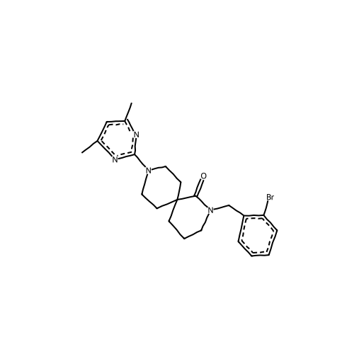 Cc1cc(C)nc(N2CCC3(CCCN(Cc4ccccc4Br)C3=O)CC2)n1